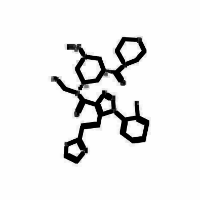 CC(C)CN(C(=O)c1nnn(-c2ccccc2F)c1C=Cc1nccs1)[C@H]1C[C@@H](C(=O)N2CCOCC2)CN(C(=O)O)C1